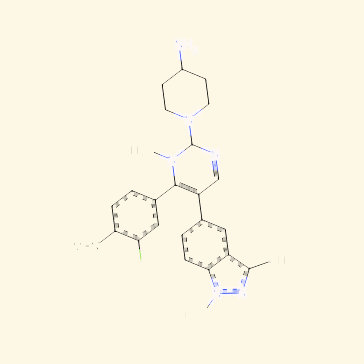 CNc1ccc(C2=C(c3ccc4c(c3)c(C)nn4C)C=NC(N3CCC(N)CC3)N2C)cc1F